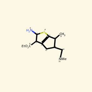 CCOC(=O)C1C2=C(SC1N)C(C)C(CNC)C2